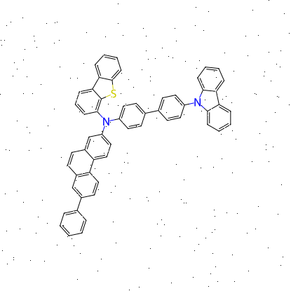 c1ccc(-c2ccc3c(ccc4cc(N(c5ccc(-c6ccc(-n7c8ccccc8c8ccccc87)cc6)cc5)c5cccc6c5sc5ccccc56)ccc43)c2)cc1